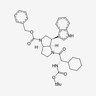 CC(C)(C)OC(=O)N[C@H](C(=O)N1CC[C@@H]2[C@H]1[C@H](c1c[nH]c3ccccc13)CN2C(=O)OCc1ccccc1)C1CCCCC1